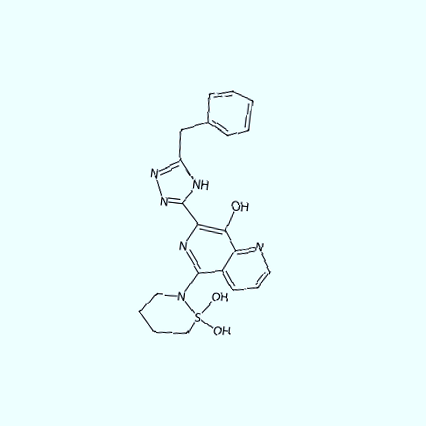 Oc1c(-c2nnc(Cc3ccccc3)[nH]2)nc(N2CCCCS2(O)O)c2cccnc12